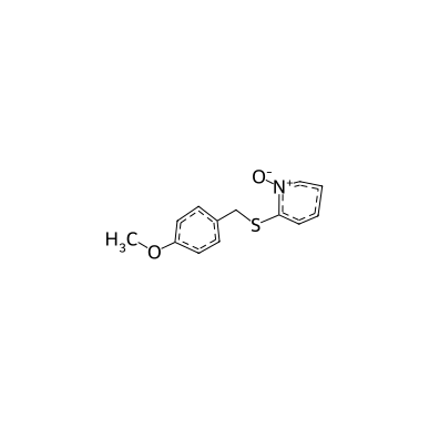 COc1ccc(CSc2cccc[n+]2[O-])cc1